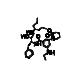 CCCC(CCC)NC[C@@H](O)[C@H](Cc1ccccc1)NC(=O)c1cc(NCC)cc(N2CCCCS2(=O)=O)c1